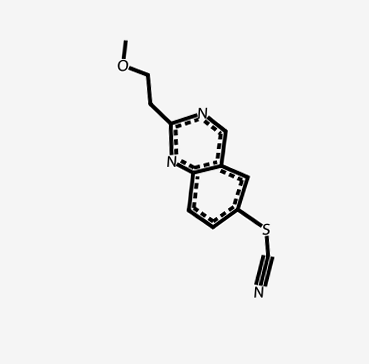 COCCc1ncc2cc(SC#N)ccc2n1